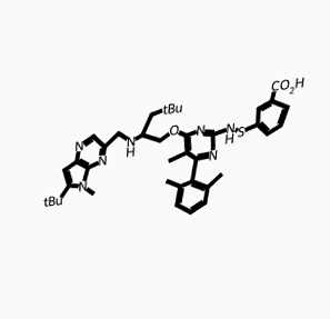 Cc1cccc(C)c1-c1nc(NSc2cccc(C(=O)O)c2)nc(OCC(CC(C)(C)C)NCc2cnc3cc(C(C)(C)C)n(C)c3n2)c1C